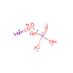 O.O=P.O=P(O)(O)O